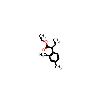 CCOC(=O)C(CC)c1ccc(C)cc1C